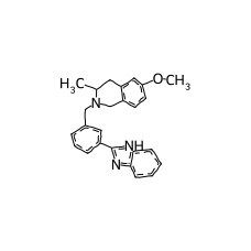 COc1ccc2c(c1)CC(C)N(Cc1cccc(-c3nc4ccccc4[nH]3)c1)C2